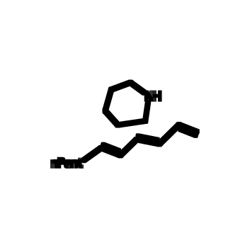 C1CCNCC1.C=CC=CC=CCCCCC